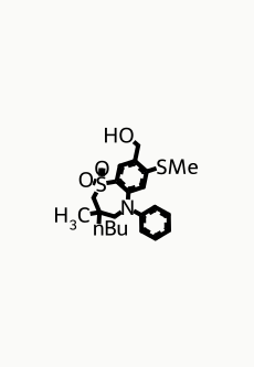 CCCCC1(C)CN(c2ccccc2)c2cc(SC)c(CO)cc2S(=O)(=O)C1